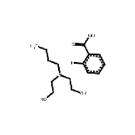 CCCCN(CCO)CCO.O=C(O)c1ccccc1F